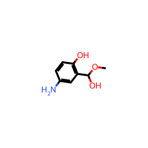 COC(O)c1cc(N)ccc1O